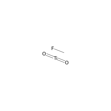 CF.[O]=[Ti]=[O]